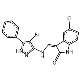 O=C1Nc2ccc(Cl)cc2C1=CNc1n[nH]c(-c2ccccc2)c1Br